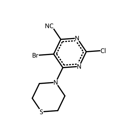 N#Cc1nc(Cl)nc(N2CCSCC2)c1Br